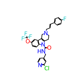 O=C(NCc1ccnc(Cl)c1)n1c2c(c3cc(OC(F)(F)F)ccc31)CN(CC=Cc1ccc(F)cc1)CC2